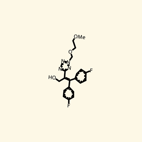 COCCOCn1nnc(C(CO)=C(c2ccc(F)cc2)c2ccc(F)cc2)n1